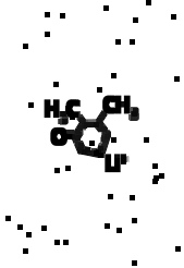 Cc1cccc([O-])c1C.[Li+]